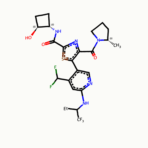 CCC(Nc1cc(C(F)F)c(-c2sc(C(=O)N[C@H]3CC[C@@H]3O)nc2C(=O)N2CCC[C@@H]2C)cn1)C(F)(F)F